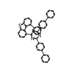 c1ccc(-c2ccc(-c3nc(-c4ccc(-c5ccccc5)cc4)nc(-c4cccc5sc6cccc(-c7ccccc7)c6c45)n3)cc2)cc1